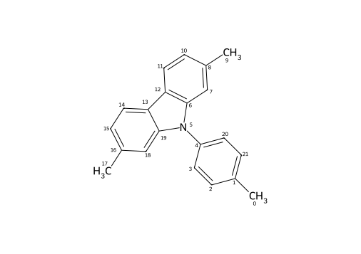 Cc1ccc(-n2c3cc(C)ccc3c3ccc(C)cc32)cc1